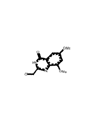 COc1cc(OC)c2nc(CCl)[nH]c(=O)c2c1